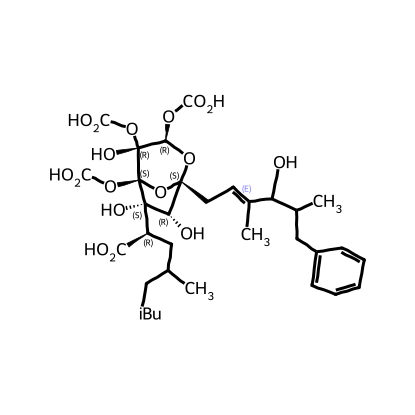 CCC(C)CC(C)C[C@@H](C(=O)O)[C@]1(O)[C@@H](O)[C@@]2(C/C=C(\C)C(O)C(C)Cc3ccccc3)O[C@H](OC(=O)O)[C@@](O)(OC(=O)O)[C@]1(OC(=O)O)O2